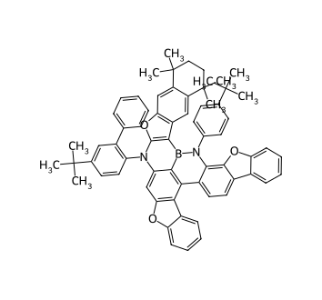 CC(C)(C)c1ccc(N2B3c4c(cc5oc6ccccc6c5c4-c4ccc5c(oc6ccccc65)c42)N(c2ccc(C(C)(C)C)cc2-c2ccccc2)c2oc4cc5c(cc4c23)C(C)(C)CCC5(C)C)cc1